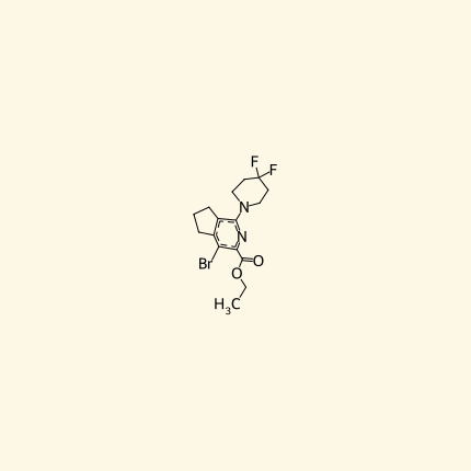 CCOC(=O)c1nc(N2CCC(F)(F)CC2)c2c(c1Br)CCC2